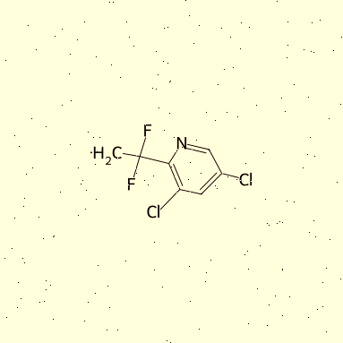 [CH2]C(F)(F)c1ncc(Cl)cc1Cl